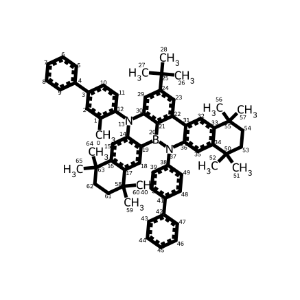 Cc1cc(-c2ccccc2)ccc1N1c2cc3c(cc2B2c4c(cc(C(C)(C)C)cc41)-c1cc4c(cc1N2c1ccc(-c2ccccc2)cc1)C(C)(C)CCC4(C)C)C(C)(C)CCC3(C)C